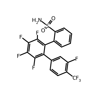 NS(=O)(=O)c1ccccc1-c1c(F)c(F)c(F)c(F)c1-c1ccc(C(F)(F)F)c(F)c1